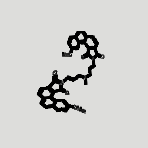 COc1ccc2ccc3ccc4c(c3c2c1)C(=O)N(CCCN(C)CCCN1C(=O)c2ccc3ccc5ccc(OC)cc5c3c2C1=O)C4=O